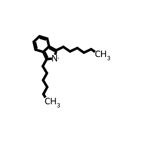 CCCCCCC1=c2ccccc2=C(CCCCCC)[N]1